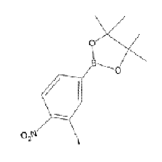 CC1(C)OB(c2ccc([N+](=O)[O-])c(I)c2)OC1(C)C